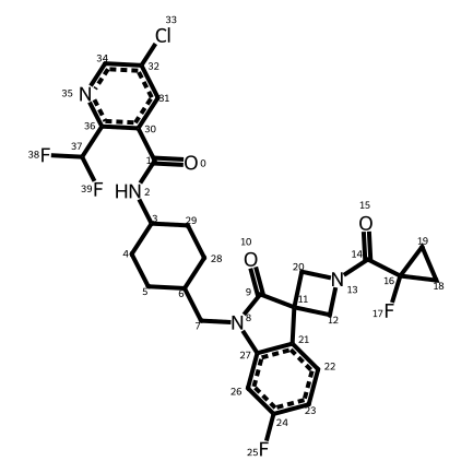 O=C(NC1CCC(CN2C(=O)C3(CN(C(=O)C4(F)CC4)C3)c3ccc(F)cc32)CC1)c1cc(Cl)cnc1C(F)F